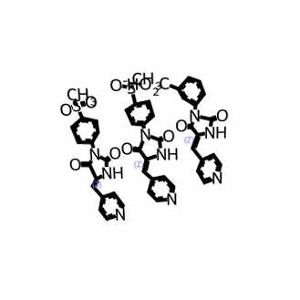 CS(=O)(=O)c1ccc(N2C(=O)N/C(=C\c3ccncc3)C2=O)cc1.C[S+]([O-])c1ccc(N2C(=O)N/C(=C\c3ccncc3)C2=O)cc1.O=C(O)c1cccc(N2C(=O)N/C(=C\c3ccncc3)C2=O)c1